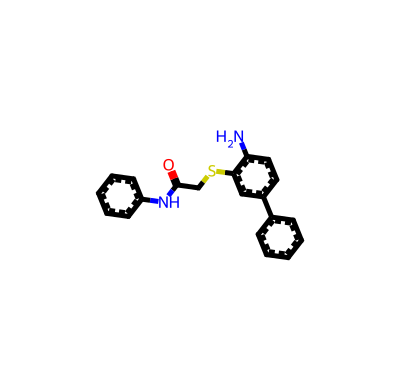 Nc1ccc(-c2ccccc2)cc1SCC(=O)Nc1ccccc1